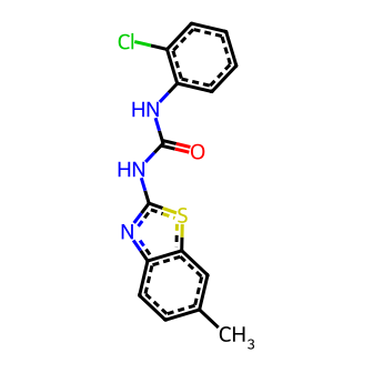 Cc1ccc2nc(NC(=O)Nc3ccccc3Cl)sc2c1